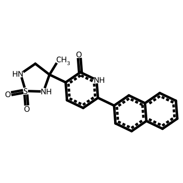 CC1(c2ccc(-c3ccc4ccccc4c3)[nH]c2=O)CNS(=O)(=O)N1